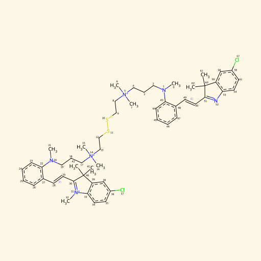 CN(CCC[N+](C)(C)CCSSCC[N+](C)(C)CCCN(C)c1ccccc1/C=C/C1=[N+](C)c2ccc(Cl)cc2C1(C)C)c1ccccc1/C=C/C1=Nc2ccc(Cl)cc2C1(C)C